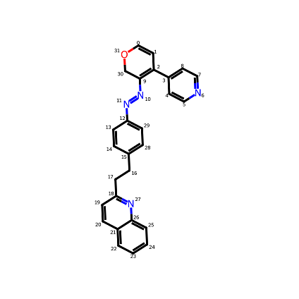 C1=CC(c2ccncc2)=C(N=Nc2ccc(CCc3ccc4ccccc4n3)cc2)CO1